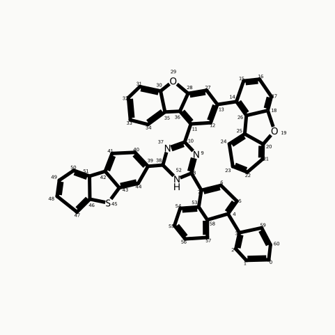 c1ccc(-c2ccc(C3=NC(c4cc(-c5cccc6oc7ccccc7c56)cc5oc6ccccc6c45)=NC(c4ccc5c(c4)sc4ccccc45)N3)c3ccccc23)cc1